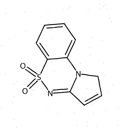 O=S1(=O)N=C2C=CCN2c2ccccc21